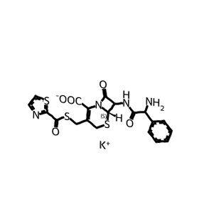 NC(C(=O)NC1C(=O)N2C(C(=O)[O-])=C(CSC(=O)c3nccs3)CS[C@@H]12)c1ccccc1.[K+]